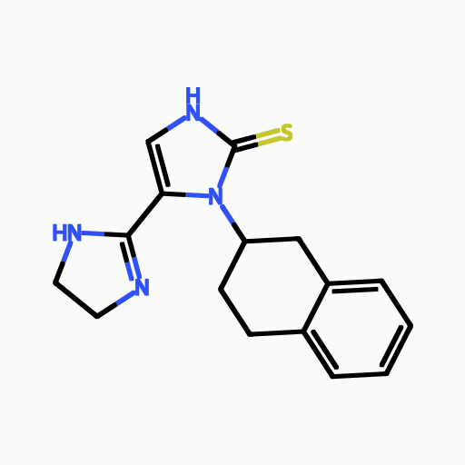 S=c1[nH]cc(C2=NCCN2)n1C1CCc2ccccc2C1